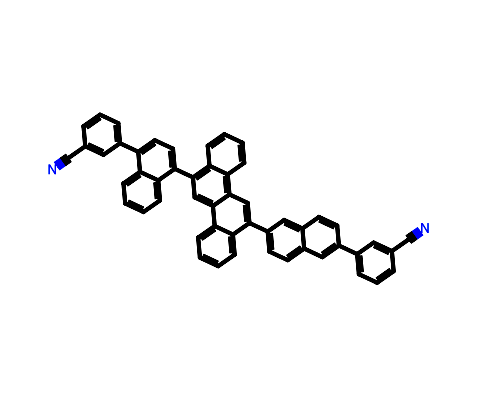 N#Cc1cccc(-c2ccc3cc(-c4cc5c6ccccc6c(-c6ccc(-c7cccc(C#N)c7)c7ccccc67)cc5c5ccccc45)ccc3c2)c1